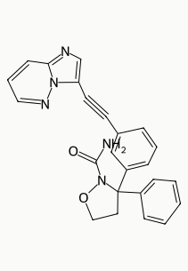 NC(=O)N1OCCC1(c1ccccc1)c1cccc(C#Cc2cnc3cccnn23)c1